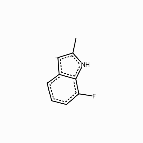 Cc1[c]c2cccc(F)c2[nH]1